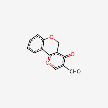 O=Cc1coc2c(c1=O)COc1ccccc1-2